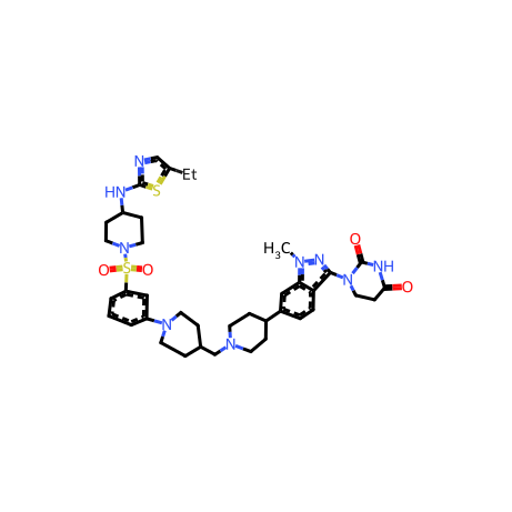 CCc1cnc(NC2CCN(S(=O)(=O)c3cccc(N4CCC(CN5CCC(c6ccc7c(N8CCC(=O)NC8=O)nn(C)c7c6)CC5)CC4)c3)CC2)s1